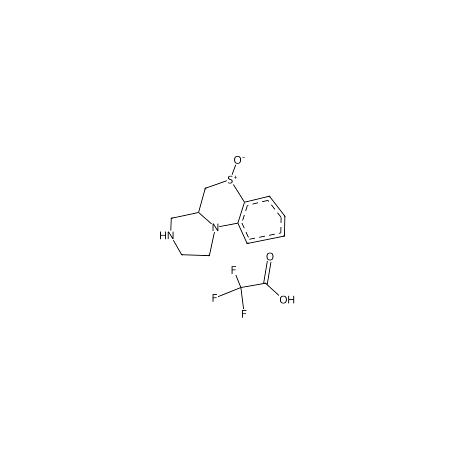 O=C(O)C(F)(F)F.[O-][S+]1CC2CNCCN2c2ccccc21